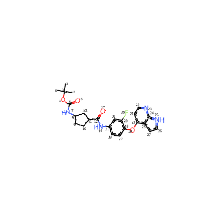 CC(C)(C)OC(=O)NC1CCC(C(=O)Nc2ccc(Oc3ccnc4[nH]ccc34)c(F)c2)C1